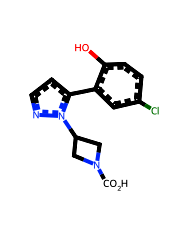 O=C(O)N1CC(n2nccc2-c2cc(Cl)ccc2O)C1